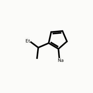 CCC(C)C1=[C]([Na])CC=C1